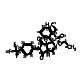 CCOP(=O)(OCC)[C@]1(c2ccccc2)N=C[C@H]2C(=O)N(c3ccc(C(F)(F)F)cc3)C(=O)[C@H]21